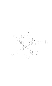 N#Cc1ccc(-c2ccc3c(c2)c2cc(-c4ccc(C#N)cc4C#N)ccc2n3-c2cc(-c3cc(-c4ccccc4)nc(-c4ccccc4)n3)cc(-n3c4ccc(-c5ccc(C#N)cc5C#N)cc4c4cc(-c5ccc(C#N)cc5C#N)ccc43)c2)c(C#N)c1